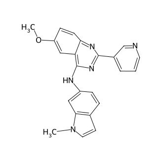 COc1ccc2nc(-c3cccnc3)nc(Nc3ccc4ccn(C)c4c3)c2c1